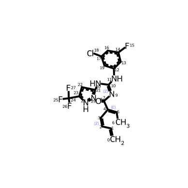 C=C/C=C\C(=C/C)C(=O)/N=C(/Nc1cc(F)cc(Cl)c1)Nc1cc(C(F)(F)F)[nH]n1